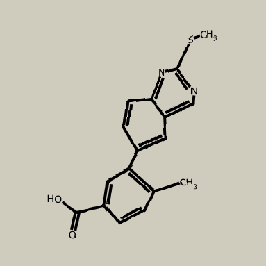 CSc1ncc2cc(-c3cc(C(=O)O)ccc3C)ccc2n1